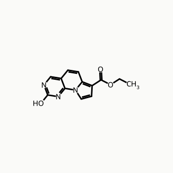 CCOC(=O)c1ccn2c1ccc1cnc(O)nc12